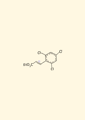 CCOC(=O)/C=C/c1c(Cl)cc(Cl)cc1Cl